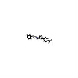 O=C(O)N1CCC(c2nc(/C=N/OCc3ccccc3)cs2)CC1